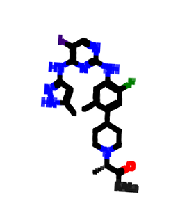 CNC(=O)[C@H](C)N1CCC(c2cc(F)c(Nc3ncc(I)c(Nc4cc(C)[nH]n4)n3)cc2C)CC1